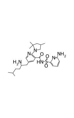 CC(C)CCC(N)Cc1cnc(N2CC(C)CC2(C)C)c(C(=O)NS(=O)(=O)c2cccc(N)n2)c1